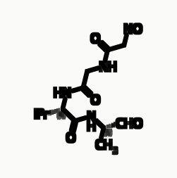 CC(C)[C@H](NC(=O)CNC(=O)CN=O)C(=O)N[C@@H](C)C=O